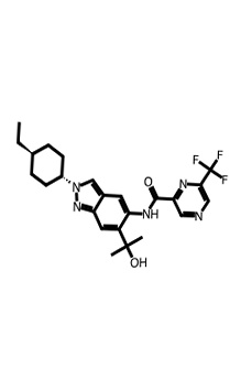 CC[C@H]1CC[C@H](n2cc3cc(NC(=O)c4cncc(C(F)(F)F)n4)c(C(C)(C)O)cc3n2)CC1